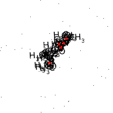 COc1cc(CC2c3c(cc(OC)c(OC)c3OC)CC[N+]2(C)CCCOC(=O)C#CC(=O)OCCC[N+]2(C)CCc3cc(OC)c(OC)c(OC)c3C2Cc2cc(OC)c(OC)c(OC)c2)cc(OC)c1OC